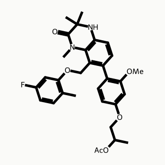 COc1cc(OCC(C)OC(C)=O)ccc1-c1ccc2c(c1COc1cc(F)ccc1C)N(C)C(=O)C(C)(C)N2